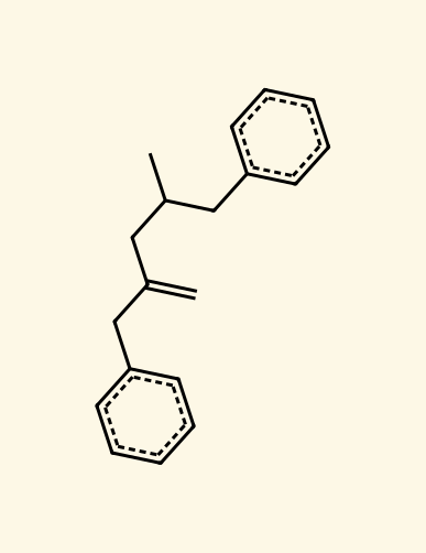 C=C(Cc1ccccc1)CC(C)Cc1ccccc1